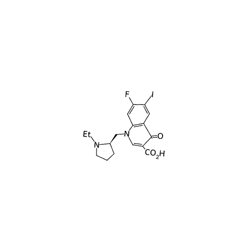 CCN1CCC[C@@H]1Cn1cc(C(=O)O)c(=O)c2cc(I)c(F)cc21